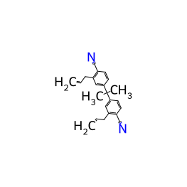 C=CCc1cc(C(C)(C)c2ccc(C#N)c(CC=C)c2)ccc1C#N